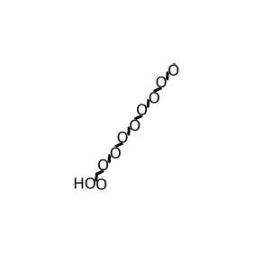 COCCOCCOCCOCCOCCOCCOCCOCCC(=O)O